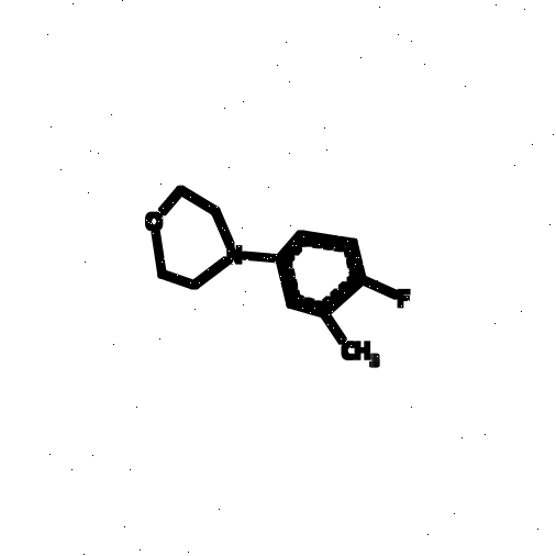 Cc1cc(N2CCOCC2)ccc1F